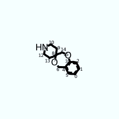 c1ccc2c(c1)COC1(CCNCC1)CO2